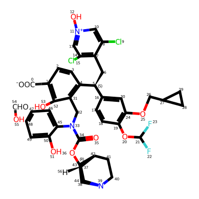 O=C([O-])c1ccc([C@@H](Cc2c(Cl)c[n+](O)cc2Cl)c2ccc(OC(F)F)c(OCC3CC3)c2)c(CN(C(=O)O[C@H]2CN3CCC2CC3)c2ccccc2O)c1O.O=CO